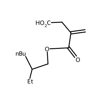 C=C(CC(=O)O)C(=O)OCC(CC)CCCC